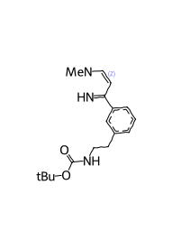 CN/C=C\C(=N)c1cccc(CCNC(=O)OC(C)(C)C)c1